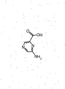 Nc1cncc(C(=O)O)n1